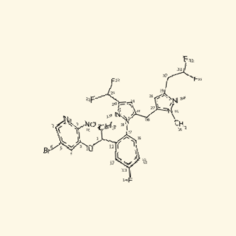 CC(Oc1cc(Br)cnc1[N+](=O)[O-])c1cc(F)ccc1-n1nc(C(F)F)cc1Cc1cc(CC(F)F)nn1C